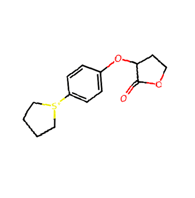 O=C1OCCC1Oc1ccc([S+]2CCCC2)cc1